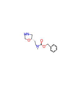 CN(CC[C@H]1CNCCO1)C(=O)OCc1ccccc1